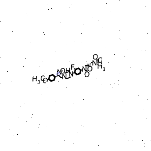 COc1ccc(/C(CN2CCN(c3ccc(N4C[C@H](CNC(C)=O)OC4=O)cc3F)CC2)=N/O)cc1